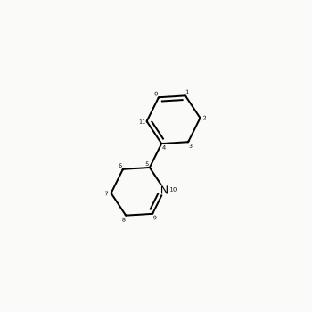 C1=CCCC(C2CCCC=N2)=C1